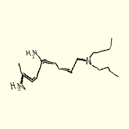 CCCN(C\C=C/C=C(N)\C=C(/C)N)CCC